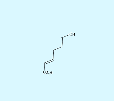 O=C(O)C=CCC[CH]O